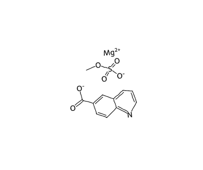 COS(=O)(=O)[O-].O=C([O-])c1ccc2ncccc2c1.[Mg+2]